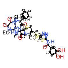 CCN1CCN(N(C=O)C(C(=O)N[C@]2(NC=O)C(=O)N3C(C(=O)O)=C(CSc4nnc(NC(=O)c5ccc(O)c(O)c5)s4)CS[C@H]32)c2ccccc2)C(=O)C1=O